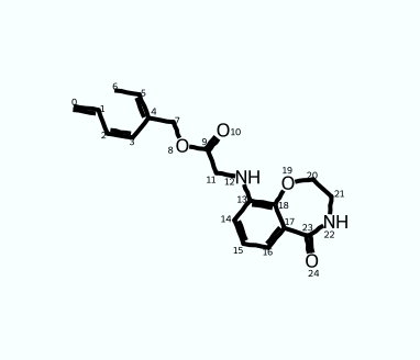 C=C/C=C\C(=C/C)COC(=O)CNc1cccc2c1OCCNC2=O